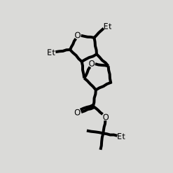 CCC1OC(CC)C2C3OC(CC3C(=O)OC(C)(C)CC)C12